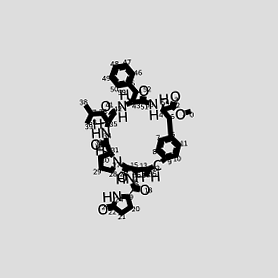 COC(=O)[C@@H]1Cc2ccc(cc2)C[C@H](C)[C@H](NC(=O)[C@@H]2CCC(=O)N2)C(=O)N2CCC[C@H]2C(=O)N[C@@H](CC(C)C)C(=O)N[C@@H](Cc2ccccc2)C(=O)N1